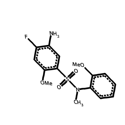 COc1ccccc1N(C)S(=O)(=O)c1cc(N)c(F)cc1OC